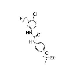 CCC(C)(C)Oc1ccc(NC(=O)Nc2ccc(Cl)c(C(F)(F)F)c2)cc1